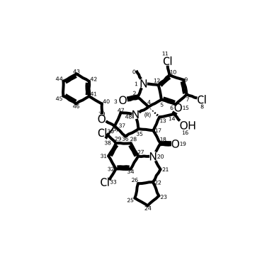 CN1C(=O)[C@]2(c3cc(Cl)cc(Cl)c31)C(C(=O)O)C(C(=O)N(CC1CCCC1)c1cc(Cl)cc(Cl)c1)C1C[C@](C)(OCc3ccccc3)CN12